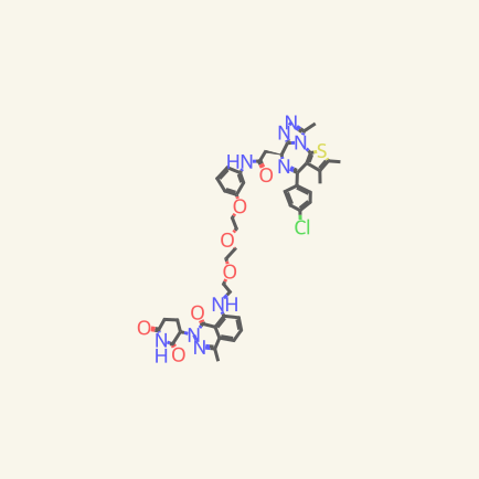 Cc1sc2c(c1C)C(c1ccc(Cl)cc1)=N[C@@H](CC(=O)Nc1cccc(OCCOCCOCCNc3cccc4c(C)nn(C5CCC(=O)NC5=O)c(=O)c34)c1)c1nnc(C)n1-2